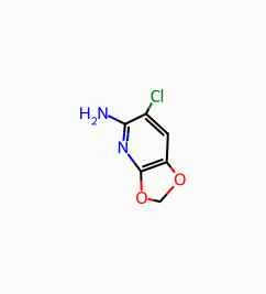 Nc1nc2c(cc1Cl)OCO2